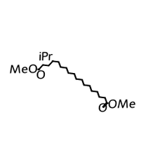 COC(=O)CCCCCCCCCCCCCC(CCC(=O)OC)C(C)C